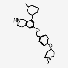 CC1CCCC(c2cc(OCc3ccc(OC4CCN(C)CC4)cc3)cc3c2CNCC3)C1